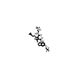 CS(=O)(=O)CCNC(=O)c1c2c(nn1CCC1CC1)C[C@]1(CCc3cc(OCC(F)(F)F)ccc31)NC2=O